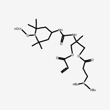 C=CC(=O)OCC(C)(COC(=O)CCN(CCCC)CCCC)NC(=O)NC1CC(C)(C)N(OCCCCCCCC)C(C)(C)C1